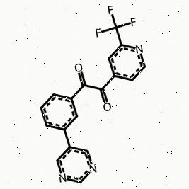 O=C(C(=O)c1ccnc(C(F)(F)F)c1)c1cccc(-c2cncnc2)c1